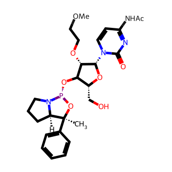 COCCO[C@H]1C(O[P@]2O[C@@](C)(c3ccccc3)[C@H]3CCCN32)[C@@H](CO)O[C@H]1n1ccc(NC(C)=O)nc1=O